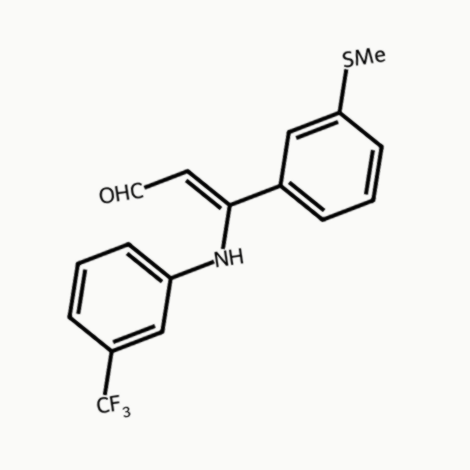 CSc1cccc(C(=CC=O)Nc2cccc(C(F)(F)F)c2)c1